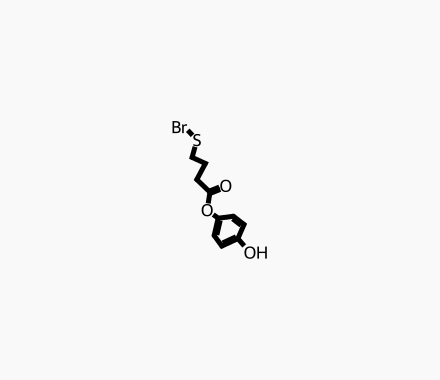 O=C(CCCSBr)Oc1ccc(O)cc1